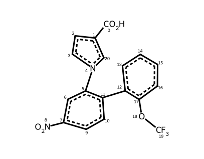 O=C(O)c1ccn(-c2cc([N+](=O)[O-])ccc2-c2ccccc2OC(F)(F)F)c1